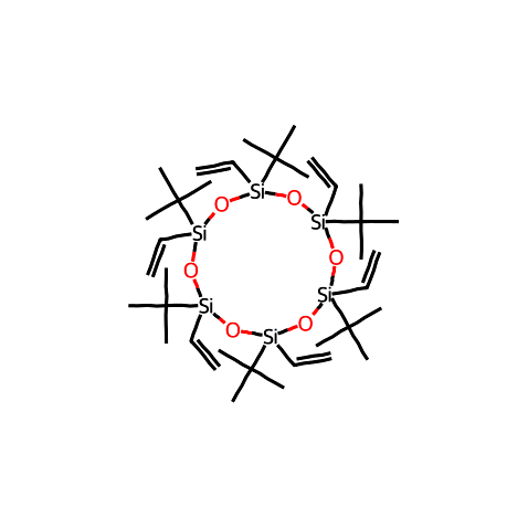 C=C[Si]1(C(C)(C)C)O[Si](C=C)(C(C)(C)C)O[Si](C=C)(C(C)(C)C)O[Si](C=C)(C(C)(C)C)O[Si](C=C)(C(C)(C)C)O[Si](C=C)(C(C)(C)C)O1